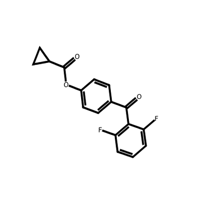 O=C(c1ccc(OC(=O)C2CC2)cc1)c1c(F)cccc1F